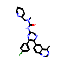 Cc1ncnc2ccc(-c3ncc(NC(=O)N(C)Cc4ccccn4)nc3-c3ccc(F)cc3)cc12